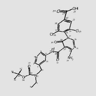 CCN(Cc1cncc(NC(=O)c2c(N)ncn(-c3c(Cl)cc(C(=O)O)cc3Cl)c2=O)c1)C(=O)OC(C)(C)C